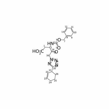 O=C(O)CC(NC(=O)OCc1ccccc1)C(=O)Cn1nnc(C2C=CCCC2)n1